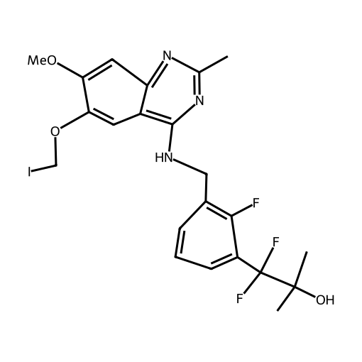 COc1cc2nc(C)nc(NCc3cccc(C(F)(F)C(C)(C)O)c3F)c2cc1OCI